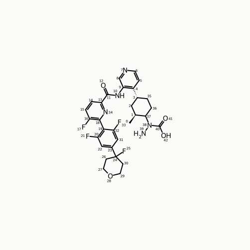 C[C@H]1C[C@H](c2ccncc2NC(=O)c2ccc(F)c(-c3c(F)cc(C4(F)CCOCC4)cc3F)n2)CCC1N(N)C(=O)O